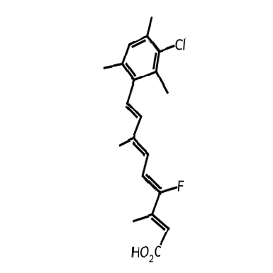 CC(/C=C/c1c(C)cc(C)c(Cl)c1C)=C\C=C(F)\C(C)=C\C(=O)O